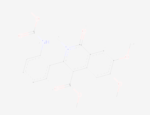 COC(=O)Nc1ccccc1-c1c(C(=O)OC)c2cc(OC)c(OC)cc2c(=O)n1C